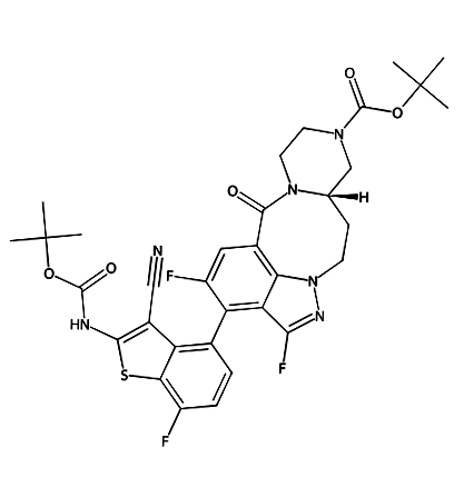 CC(C)(C)OC(=O)Nc1sc2c(F)ccc(-c3c(F)cc4c5c3c(F)nn5CC[C@H]3CN(C(=O)OC(C)(C)C)CCN3C4=O)c2c1C#N